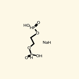 O=[PH](O)OCCO[PH](=O)O.[NaH]